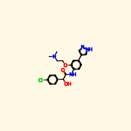 CN(C)CCOc1cc(-c2cn[nH]c2)ccc1NC(=O)C(O)c1ccc(Cl)cc1